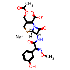 CON=C(C(=O)N[C@@H]1C(=O)N2C(C(=O)[O-])=C(COC(C)=O)CS[C@H]12)c1cccc(O)c1.[Na+]